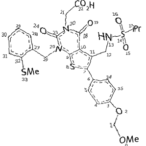 COCOc1ccc(-c2sc3c(c2CNS(=O)(=O)C(C)C)c(=O)n(CC(=O)O)c(=O)n3Cc2ccccc2SC)cc1